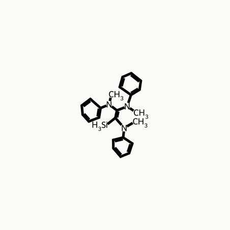 CN(C([SiH3])=C(N(C)c1ccccc1)N(C)c1ccccc1)c1ccccc1